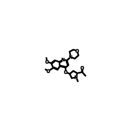 COc1cc2nc(N3CCOCC3)cc(OC3CC(C(C)=O)N(C)C3)c2cc1OC